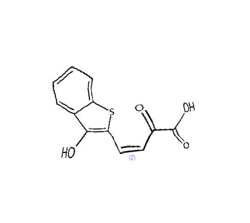 O=C(O)C(=O)/C=C\c1sc2ccccc2c1O